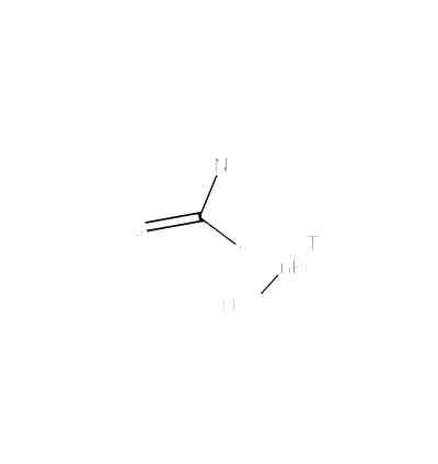 CCCC.NC(=S)S.[Ti]